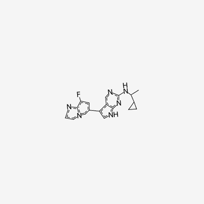 CC(Nc1ncc2c(-c3cc(F)c4nccn4c3)c[nH]c2n1)C1CC1